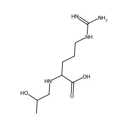 CC(O)CNC(CCCNC(=N)N)C(=O)O